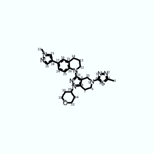 Cc1nnc(N2CCc3c(c(N4CCCc5cc(-c6cnn(C)c6)ccc54)nn3C3CCOCC3)C2)s1